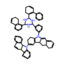 C1=CCC2CC3C(=CC2=C1)N(c1cccc(C2NC(C4=C(c5ccccc5)C=CCC4)NC(c4cccc5c4CCC=C5)N2)c1)C1=C3C=C(N2c3ccccc3C3C=Cc4ccccc4C32)CC1